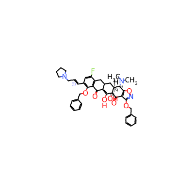 CN(C)[C@@H]1c2onc(OCc3ccccc3)c2C(=O)[C@@]2(O)C(O)=C3C(=O)c4c(c(F)cc(/C=C/CN5CCCC5)c4OCc4ccccc4)CC3C[C@@H]12